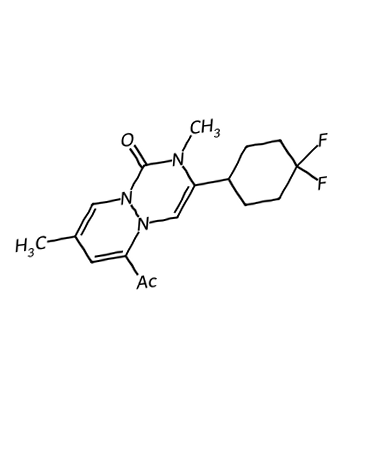 CC(=O)C1=CC(C)=CN2C(=O)N(C)C(C3CCC(F)(F)CC3)=CN12